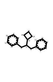 c1ccc(CC(Cc2ccccc2)C2CCC2)cc1